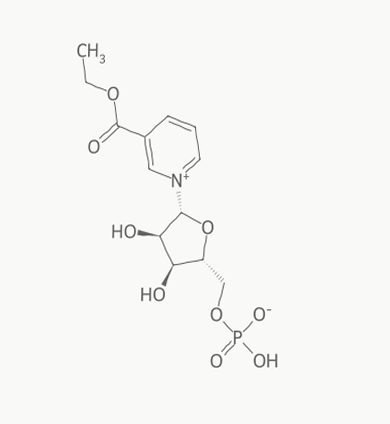 CCOC(=O)c1ccc[n+]([C@@H]2O[C@H](COP(=O)([O-])O)[C@@H](O)[C@H]2O)c1